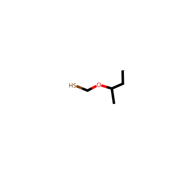 [CH2]CC(C)OCS